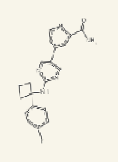 NC(=O)c1cc(-c2cnc(NC3(c4ccc(F)cc4)CCC3)nc2)ccn1